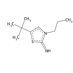 CCCn1cc(C(C)(C)C)sc1=N